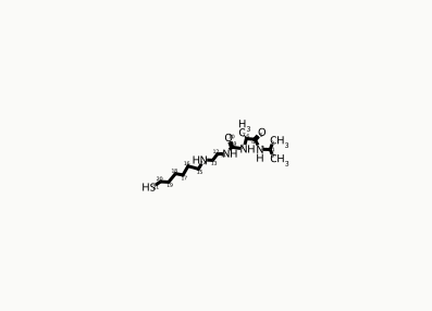 CC(C)NC(=O)[C@@H](C)NC(=O)NCCNCCCCCCS